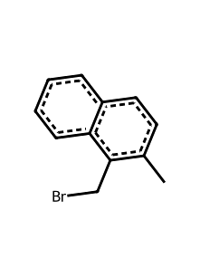 Cc1ccc2ccccc2c1CBr